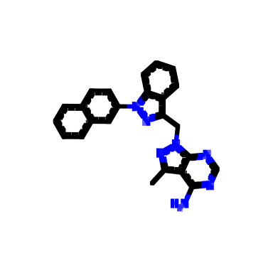 Cc1nn(Cc2nn(-c3ccc4ccccc4c3)c3ccccc23)c2ncnc(N)c12